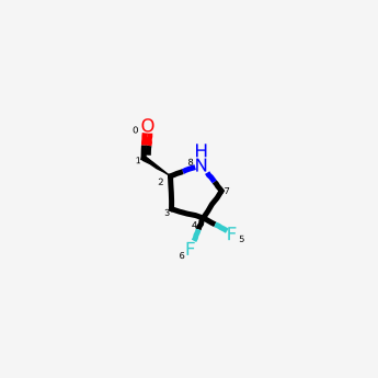 O=C[C@@H]1CC(F)(F)CN1